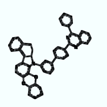 C1=c2ccccc2=C2c3ccc4c(c3N(c3cccc(-c5ccc(-c6nc(-c7ccccc7)c7ccccc7n6)cc5)c3)C2C1)Oc1ccccc1O4